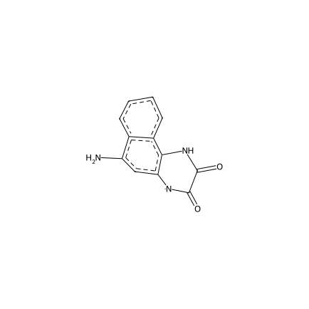 Nc1cc2c(c3ccccc13)NC(=O)C(=O)[N]2